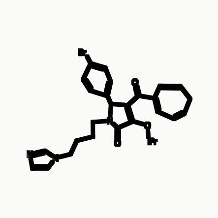 CC(C)OC1=C(C(=O)C2=CC=CCC=C2)C(c2ccc(Br)cc2)N(CCCCn2ccnc2)C1=O